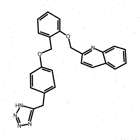 c1ccc(OCc2ccc3ccccc3n2)c(COc2ccc(Cc3nnn[nH]3)cc2)c1